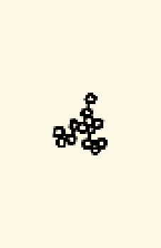 c1ccc(-c2ccc(-c3c4cccc(-c5cccc6oc7ccccc7c56)c4cc4c(-c5cccc6oc7ccccc7c56)cccc34)c(-c3ccccc3)c2)cc1